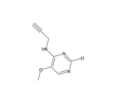 C#CCNc1nc(Cl)ncc1OC